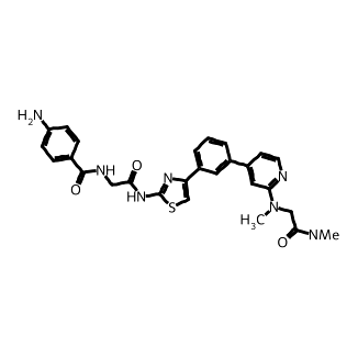 CNC(=O)CN(C)c1cc(-c2cccc(-c3csc(NC(=O)CNC(=O)c4ccc(N)cc4)n3)c2)ccn1